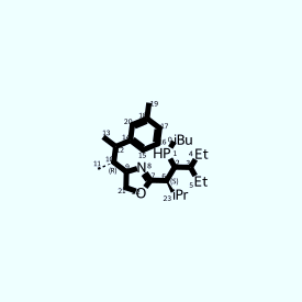 CCC(C)PC(C(CC)CC)[C@H](C1=NC([C@H](C)C(C)c2cccc(C)c2)CO1)C(C)C